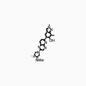 CN[C@H]1CN(c2cnc3nc(-c4cc5cn(C)nc5c(C)c4O)ccc3n2)C[C@H]1C